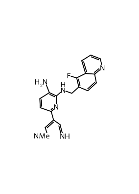 CN/C=C(\C=N)c1ccc(N)c(NCc2ccc3ncccc3c2F)n1